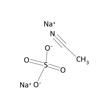 CC#N.O=S(=O)([O-])[O-].[Na+].[Na+]